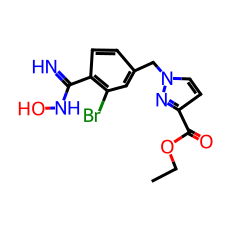 CCOC(=O)c1ccn(Cc2ccc(C(=N)NO)c(Br)c2)n1